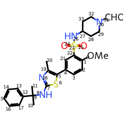 COc1ccc(-c2sc(NC(C)(C)c3ccccc3)nc2C)cc1S(=O)(=O)NC1CCN(C=O)CC1